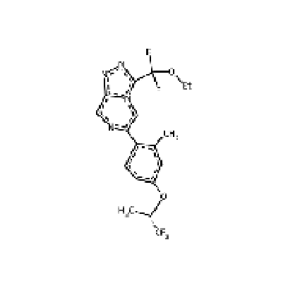 CCOC(F)(F)c1nnc2cnc(-c3ccc(O[C@@H](C)C(F)(F)F)cc3C)cn12